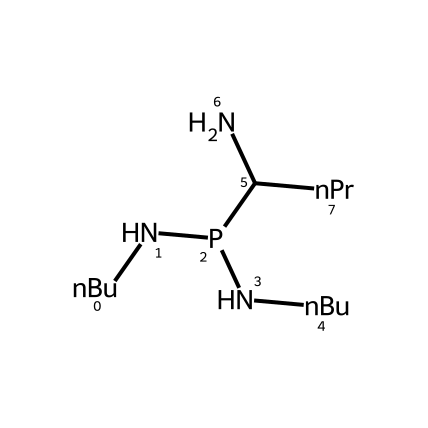 CCCCNP(NCCCC)C(N)CCC